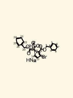 O=C(OCc1ccccc1)c1c(Br)ccn1N(C(=O)OCc1ccccc1)[SH](=O)=O.[NaH]